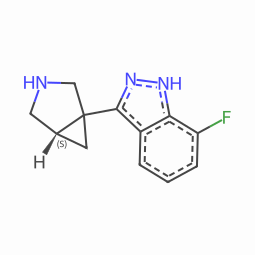 Fc1cccc2c(C34CNC[C@H]3C4)n[nH]c12